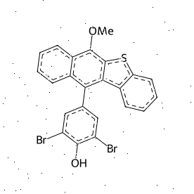 COc1c2ccccc2c(-c2cc(Br)c(O)c(Br)c2)c2c1sc1ccccc12